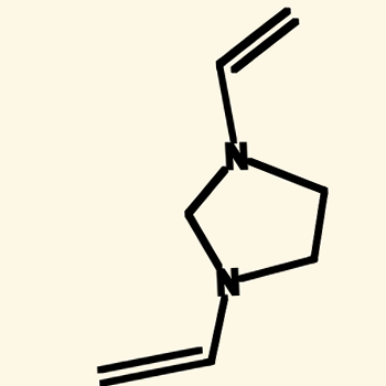 C=CN1CCN(C=C)C1